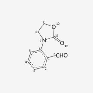 O=Cc1ccccc1N1CCOC1=O